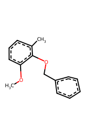 COc1cccc(C)c1OCc1ccccc1